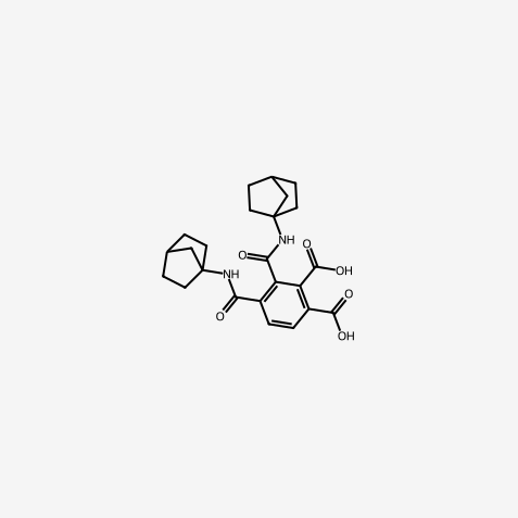 O=C(O)c1ccc(C(=O)NC23CCC(CC2)C3)c(C(=O)NC23CCC(CC2)C3)c1C(=O)O